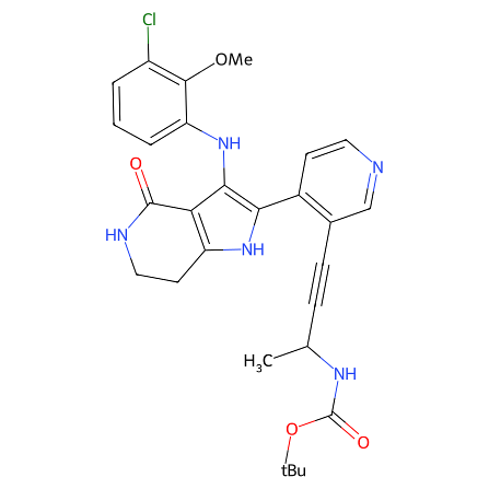 COc1c(Cl)cccc1Nc1c(-c2ccncc2C#CC(C)NC(=O)OC(C)(C)C)[nH]c2c1C(=O)NCC2